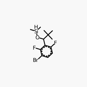 C[SiH](C)OC(c1c(F)ccc(Br)c1F)C(C)(C)C